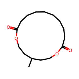 CC1CCOC(=O)CCCCCCCCC(=O)OCC1